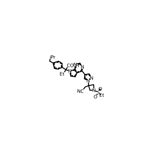 CCC(C(=O)O)(c1ccc(CC(C)C)cc1)n1ccc2c(-c3cnn(C4(CC#N)CN(S(=O)(=O)CC)C4)c3)ncnc21